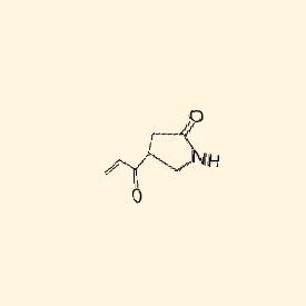 C=CC(=O)C1CNC(=O)C1